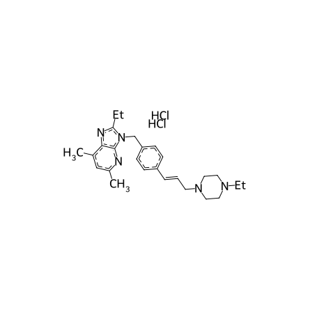 CCc1nc2c(C)cc(C)nc2n1Cc1ccc(/C=C/CN2CCN(CC)CC2)cc1.Cl.Cl